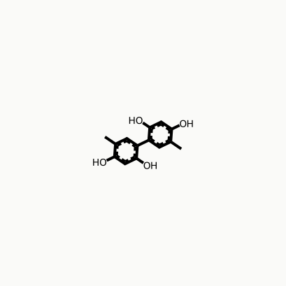 Cc1cc(-c2cc(C)c(O)cc2O)c(O)cc1O